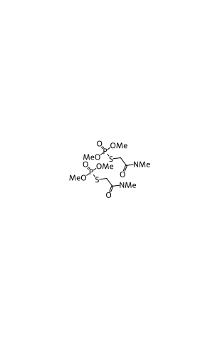 CNC(=O)CSP(=O)(OC)OC.CNC(=O)CSP(=O)(OC)OC